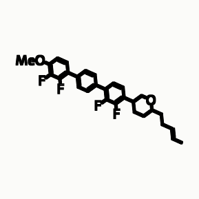 C/C=C/CCC1CCC(c2ccc(-c3ccc(-c4ccc(OC)c(F)c4F)cc3)c(F)c2F)CO1